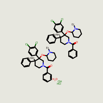 CCN1CCCCC1OC1(c2ccc(Cl)c(Cl)c2)CN(C(=O)c2ccccc2)CCC1(NC(C)=O)c1ccccc1.CCN1CCCCC1OC1(c2ccc(Cl)c(Cl)c2)CN(C(=O)c2ccccc2)CCC1(NC(C)=O)c1ccccc1.Cl.Cl.O